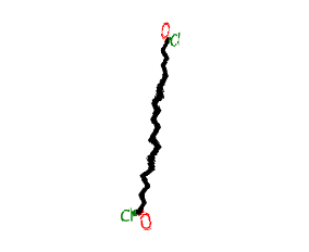 O=C(Cl)CCCCCCCCCCCCCCCCCCC(=O)Cl